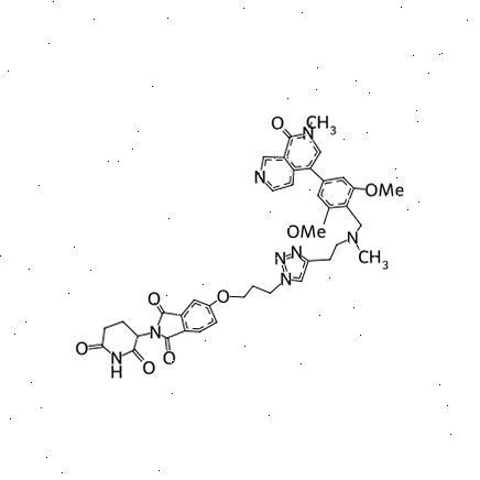 COc1cc(-c2cn(C)c(=O)c3cnccc23)cc(OC)c1CN(C)CCc1cn(CCCOc2ccc3c(c2)C(=O)N(C2CCC(=O)NC2=O)C3=O)nn1